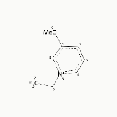 COc1ccc[n+](CC(F)(F)F)c1